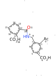 CC(=O)c1cc(C(=O)O)ccc1CNC(=O)c1ccccc1C(=O)O